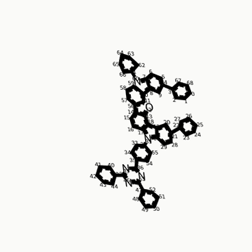 c1ccc(-c2ccc3c(c2)c2c4oc5c(ccc6c5c5cc(-c7ccccc7)ccc5n6-c5ccc(-c6nc(-c7ccccc7)nc(-c7ccccc7)n6)cc5)c4ccc2n3-c2ccccc2)cc1